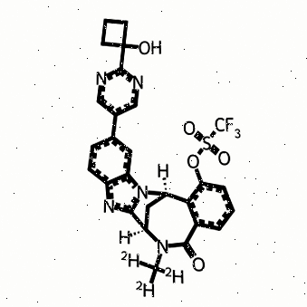 [2H]C([2H])([2H])N1C(=O)c2cccc(OS(=O)(=O)C(F)(F)F)c2[C@H]2C[C@@H]1c1nc3ccc(-c4cnc(C5(O)CCC5)nc4)cc3n12